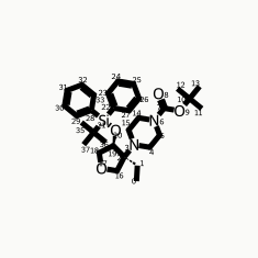 CC[C@]1(N2CCN(C(=O)OC(C)(C)C)CC2)COC[C@H]1O[Si](c1ccccc1)(c1ccccc1)C(C)(C)C